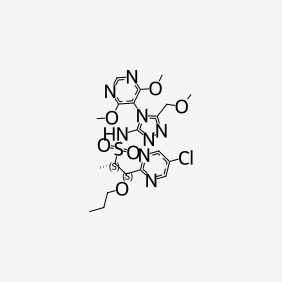 CCCO[C@@H](c1ncc(Cl)cn1)[C@H](C)S(=O)(=O)Nc1nnc(COC)n1-c1c(OC)ncnc1OC